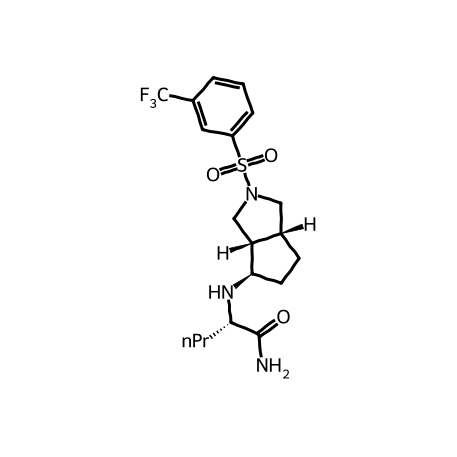 CCC[C@H](N[C@@H]1CC[C@H]2CN(S(=O)(=O)c3cccc(C(F)(F)F)c3)C[C@H]21)C(N)=O